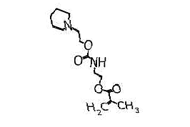 C=C(C)C(=O)OCCNC(=O)OCCN1CCCCC1